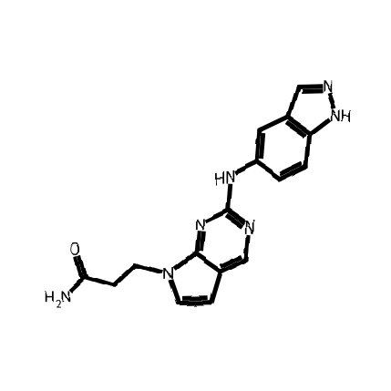 NC(=O)CCn1ccc2cnc(Nc3ccc4[nH]ncc4c3)nc21